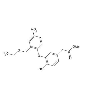 COC(=O)Cc1ccc(O)c(Oc2ccc([N+](=O)[O-])cc2CSCC(F)(F)F)c1